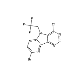 FC(F)(F)Cn1c2ccc(Br)nc2c2ncnc(Cl)c21